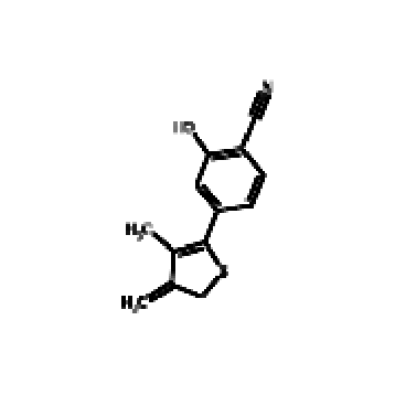 C=C1CSC(c2ccc(C#N)c(O)c2)=C1C